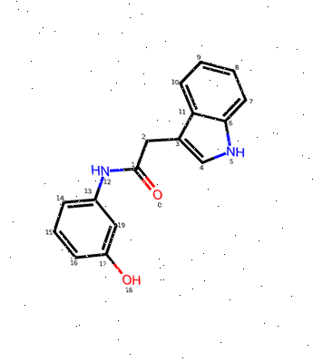 O=C(Cc1c[nH]c2ccccc12)Nc1cccc(O)c1